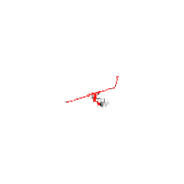 CCCCCC/C=C\CCCCCCCCCC(=O)O[C@H](COC(=O)CCCCCCCCCCCCCCC)COP(=O)(O)OCC[N+](C)(C)C